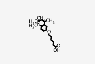 CC1=CC(C)(C)N(C)c2ccc(OCCCCCC(=O)O)cc21